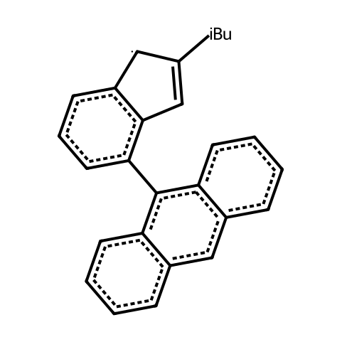 CCC(C)C1=Cc2c(cccc2-c2c3ccccc3cc3ccccc23)[CH]1